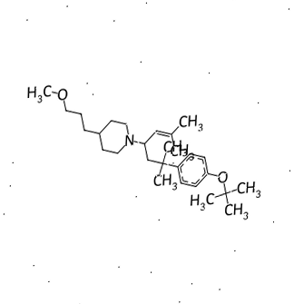 COCCCC1CCN(C(C=C(C)C)CC(C)(C)c2ccc(OC(C)(C)C)cc2)CC1